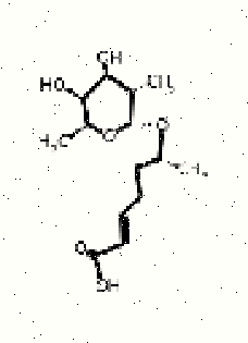 C[C@@H]1[C@H](O[C@H](C)CC/C=C/C(=O)O)O[C@@H](C)[C@@H](O)[C@H]1O